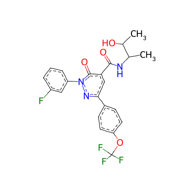 CC(O)C(C)NC(=O)c1cc(-c2ccc(OC(F)(F)F)cc2)nn(-c2cccc(F)c2)c1=O